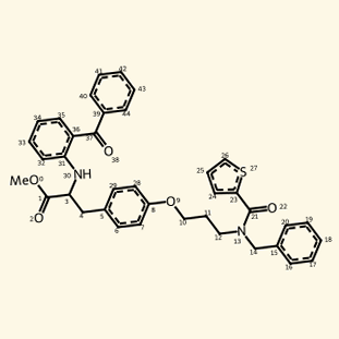 COC(=O)C(Cc1ccc(OCCCN(Cc2ccccc2)C(=O)c2cccs2)cc1)Nc1ccccc1C(=O)c1ccccc1